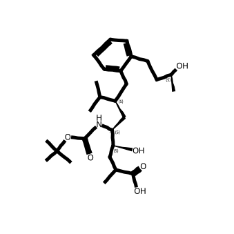 CC(C[C@H](O)[C@H](C[C@H](Cc1ccccc1CC[C@H](C)O)C(C)C)NC(=O)OC(C)(C)C)C(=O)O